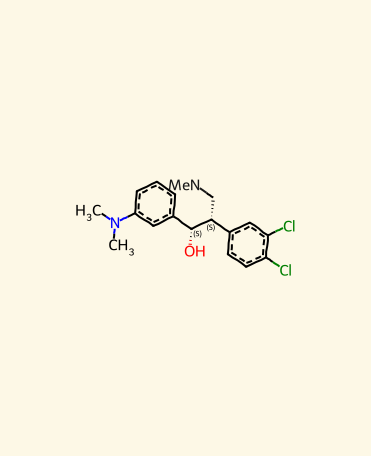 CNC[C@H](c1ccc(Cl)c(Cl)c1)[C@H](O)c1cccc(N(C)C)c1